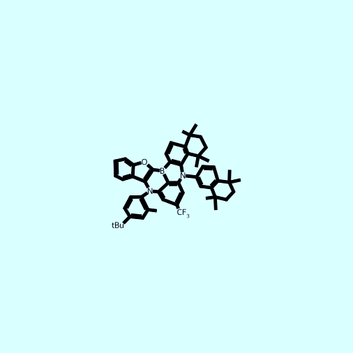 Cc1cc(C(C)(C)C)ccc1N1c2cc(C(F)(F)F)cc3c2B(c2ccc4c(c2N3c2ccc3c(c2)C(C)(C)CCC3(C)C)C(C)(C)CCC4(C)C)c2oc3ccccc3c21